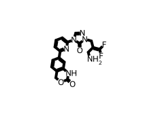 NCC(Cn1ncn(-c2cccc(-c3ccc4c(c3)NC(=O)OC4)n2)c1=O)=C(F)F